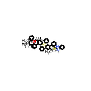 CC(C)(C)c1ccc(S(c2ccccc2)(c2ccccc2)c2ccc(C(C)(C)C)c(-c3cccc4c3sc3nc5ccccc5n34)c2)cc1-c1cccc2c1Oc1ccccc1C(C)(C)C2(C)C